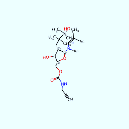 C#CCNC(=O)OC[C@H]1O[C@@H](N(/C=C(/C)C(C)=O)C(C)=O)[C@@H](CC(C)(C)[Si](C)(C)O)C1O